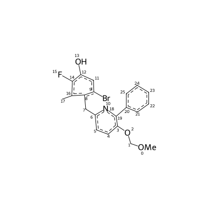 COCOc1ccc(Cc2c(Br)cc(O)c(F)c2C)nc1-c1ccccc1